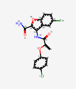 C=C(Oc1ccc(Cl)cc1)C(=O)Nc1c(C(N)=O)oc2ccc(F)cc12